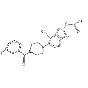 O=C(O)Oc1cc2c(Cl)c(N3CCN(C(=O)c4cccc(F)c4)CC3)ccc2o1